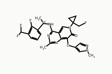 Cc1nc(N[C@H](C)c2cccc(C(F)F)c2F)c2cn(C3(CF)CC3)c(=O)c(Oc3cnn(C)c3)c2n1